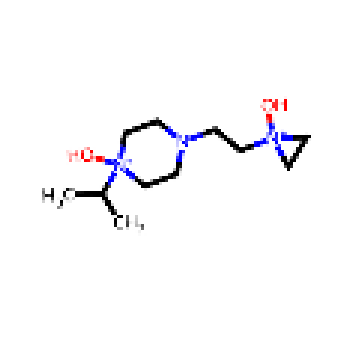 CC(C)[N+]1(O)CCN(CC[N+]2(O)CC2)CC1